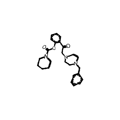 O=C(CN1CCN(Cc2ccccc2)CC1)c1ccccc1OC(=O)N1CCCCC1